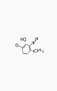 Cc1ccc(Cl)cc1[N+]#N.Cl